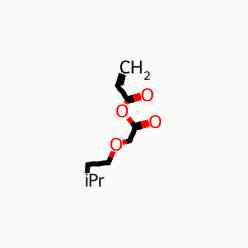 C=CC(=O)OC(=O)COCCC(C)C